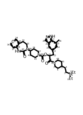 CCN(CC)CCC1CCN(C(=O)C(Cc2cc(C)c3[nH]ncc3c2)OC(=O)N2CCC(N3CCc4ccccc4NC3=O)CC2)CC1